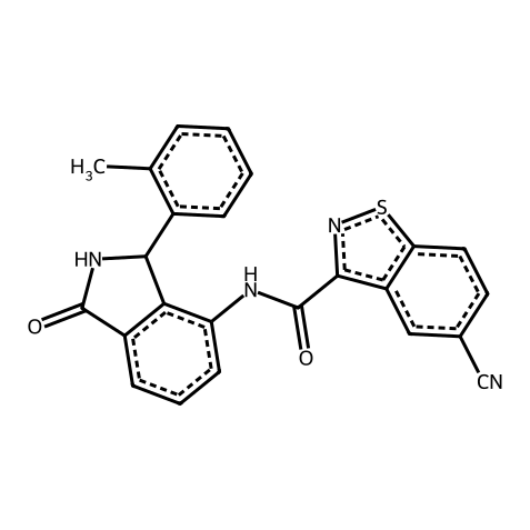 Cc1ccccc1C1NC(=O)c2cccc(NC(=O)c3nsc4ccc(C#N)cc34)c21